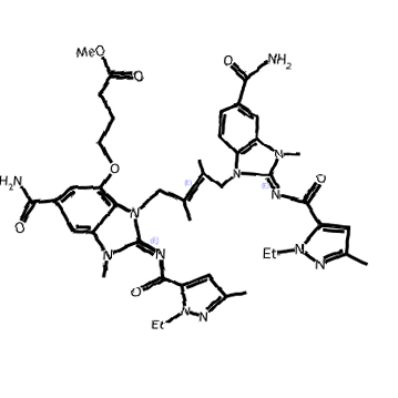 CCn1nc(C)cc1C(=O)/N=c1\n(C)c2cc(C(N)=O)ccc2n1C/C(C)=C(\C)Cn1/c(=N/C(=O)c2cc(C)nn2CC)n(C)c2cc(C(N)=O)cc(OCCCC(=O)OC)c21